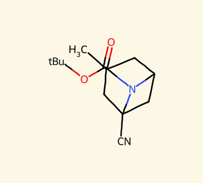 CC1CC2CC(C#N)(C1)N2C(=O)OC(C)(C)C